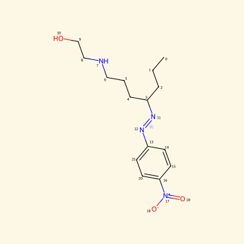 CCCC(CCCNCCO)/N=N/c1ccc([N+](=O)[O-])cc1